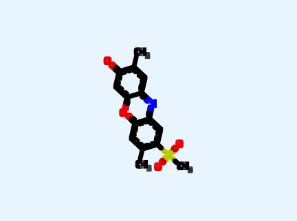 Cc1cc2oc3cc(=O)c(C)cc-3nc2cc1S(C)(=O)=O